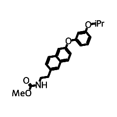 COC(=O)NCCc1ccc2cc(Oc3cccc(OC(C)C)c3)ccc2c1